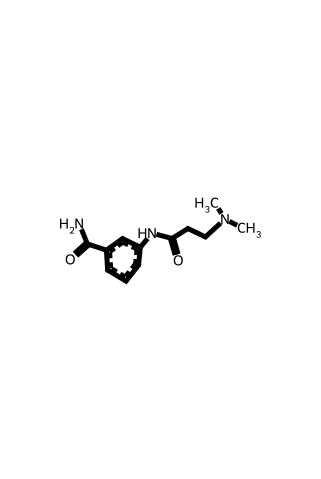 CN(C)CCC(=O)Nc1cccc(C(N)=O)c1